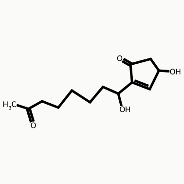 CC(=O)CCCCCC(O)C1=CC(O)CC1=O